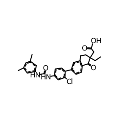 CCC1(CC(=O)O)CCc2cc(-c3ccc(NC(=O)Nc4cc(C)cc(C)c4)cc3Cl)ccc2C1=O